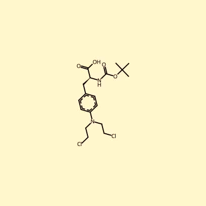 CC(C)(C)OC(=O)N[C@@H](Cc1ccc(N(CCCl)CCCl)cc1)C(=O)O